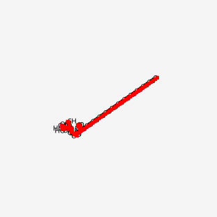 COCCOCCOCCOCCOCCOCCOCCOCCOCCOCCOCCOCCOCCOCCOCCOCCOCCOCCOCCOCCOCCOCCOCCOCCN(CCC(=O)N[C@H](C(=O)N[C@@H](C)C(=O)Nc1ccc(COC(=O)C(C)(C)S)c(CC[C@@H]2O[C@H](C(=O)O)[C@@H](O)[C@H](O)[C@H]2O)c1)C(C)C)C(=O)CN1C(=O)C=CC1=O